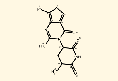 Cc1nc2c(C(C)C)scc2c(=O)n1C1CC(C)C(=O)NC1=O